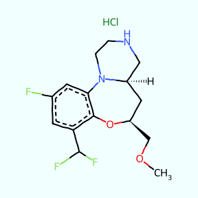 COC[C@@H]1C[C@@H]2CNCCN2c2cc(F)cc(C(F)F)c2O1.Cl